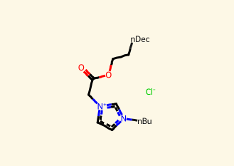 CCCCCCCCCCCCOC(=O)C[n+]1ccn(CCCC)c1.[Cl-]